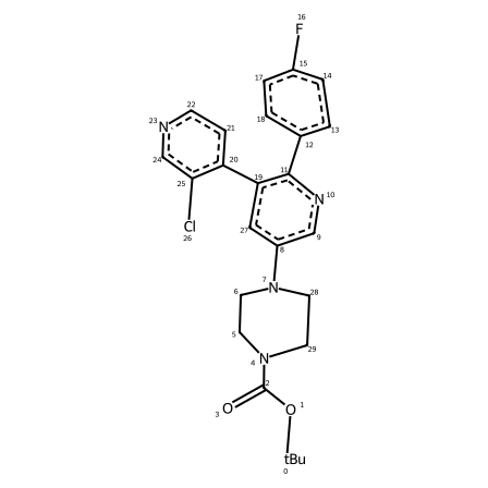 CC(C)(C)OC(=O)N1CCN(c2cnc(-c3ccc(F)cc3)c(-c3ccncc3Cl)c2)CC1